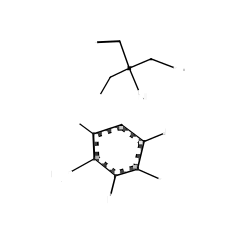 Bc1c(F)cc(F)c(C)c1F.NC(CO)(CO)CO